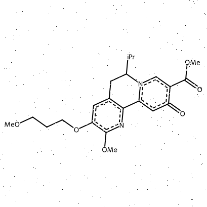 COCCCOc1cc2c(nc1OC)-c1cc(=O)c(C(=O)OC)cn1C(C(C)C)C2